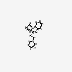 c1ccc(CSc2nc3ccccc3n3cnnc23)cc1